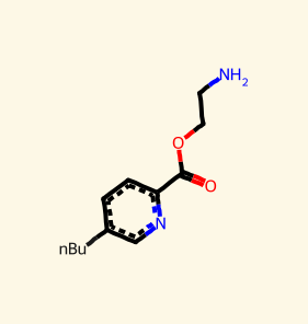 CCCCc1ccc(C(=O)OCCN)nc1